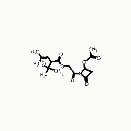 CC(=O)OC1CC(=O)N1C(=O)COC(=O)C(C=C(C)C)C(C)(C)C